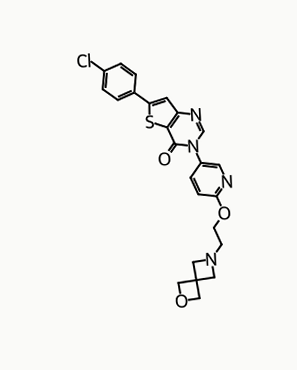 O=c1c2sc(-c3ccc(Cl)cc3)cc2ncn1-c1ccc(OCCN2CC3(COC3)C2)nc1